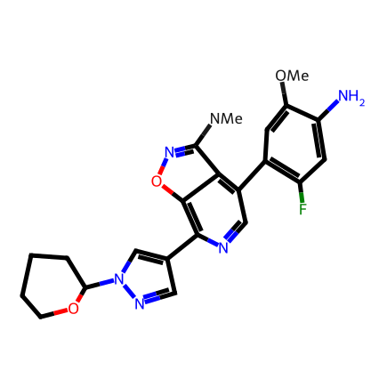 CNc1noc2c(-c3cnn(C4CCCCO4)c3)ncc(-c3cc(OC)c(N)cc3F)c12